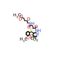 COC(=O)CCC(=O)CNC(=O)CC1SC(c2cccc(OC)c2OC)c2cc(Cl)cnc2NC1=O